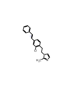 Cc1nccn1CCc1ccc(/C=C/c2ccccc2)cc1Cl